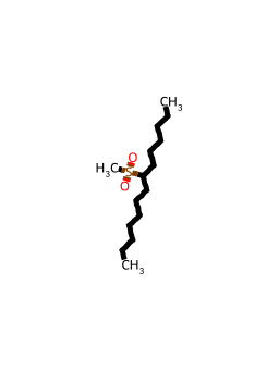 CCCCCCCC(CCCCCC)S(C)(=O)=O